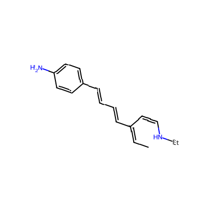 C/C=C(\C=C/NCC)/C=C/C=C/c1ccc(N)cc1